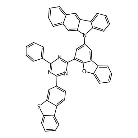 c1ccc(-c2nc(-c3ccc4c(c3)sc3ccccc34)nc(-c3cc(-n4c5ccccc5c5cc6ccccc6cc54)cc4c3oc3ccccc34)n2)cc1